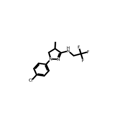 CC1CN(c2ccc(Cl)cc2)N=C1NCC(F)(F)F